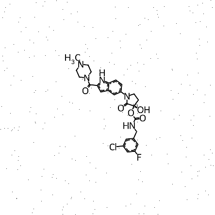 CN1CCN(C(=O)c2cc3cc(N4CC[C@](O)(OC(=O)NCc5cc(F)cc(Cl)c5)C4=O)ccc3[nH]2)CC1